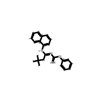 CC(C)(C)CC(=NC(=N)Oc1ccccc1)Oc1cccc2ccccc12